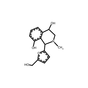 CN1CC(O)c2cccc(O)c2C1c1ccc(CO)o1